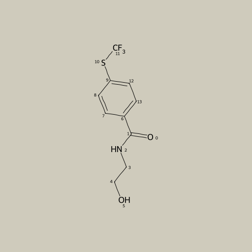 O=C(NCCO)c1ccc(SC(F)(F)F)cc1